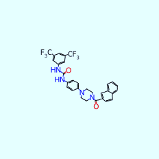 O=C(Nc1ccc(N2CCN(C(=O)c3ccc4ccccc4c3)CC2)cc1)Nc1cc(C(F)(F)F)cc(C(F)(F)F)c1